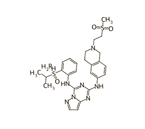 CC(C)[SH](=O)(P)c1ccccc1Nc1nc(Nc2ccc3c(c2)CCN(CCS(C)(=O)=O)C3)nc2ccnn12